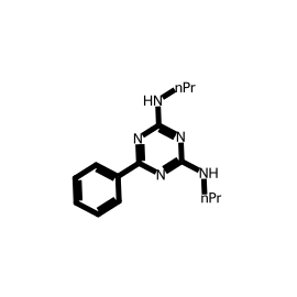 CCCNc1nc(NCCC)nc(-c2ccccc2)n1